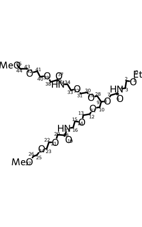 CCOCCNC(=O)COC(COCCOCCNC(=O)COCCOCCOC)COCCOCCNC(=O)COCCOCCOC